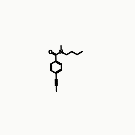 CC#Cc1ccc(C(=O)N(C)CCCC)cc1